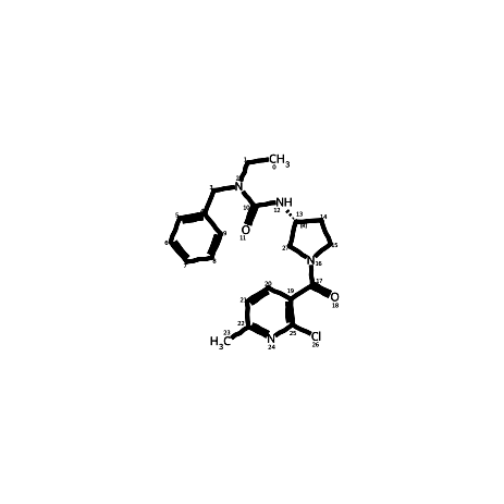 CCN(Cc1ccccc1)C(=O)N[C@@H]1CCN(C(=O)c2ccc(C)nc2Cl)C1